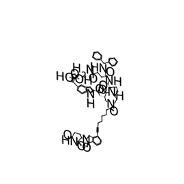 NC(=O)CC[C@H](NC(=O)[C@@H]1CC[C@@H]2CCN(C(=O)CCCCCC#Cc3cccc4c3CN(C3CCC(=O)NC3=O)C4=O)C[C@H](CC(=O)c3cc4cc(CP(=O)(O)O)ccc4[nH]3)C(=O)N21)C(=O)NC(c1ccccc1)c1ccccc1